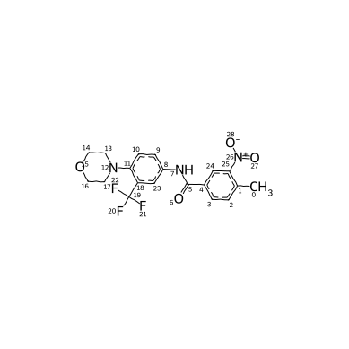 Cc1ccc(C(=O)Nc2ccc(N3CCOCC3)c(C(F)(F)F)c2)cc1[N+](=O)[O-]